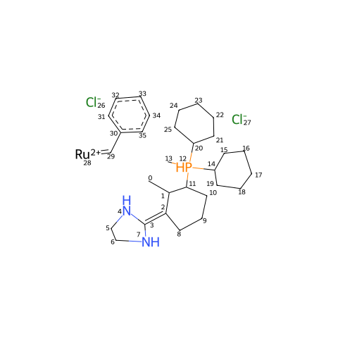 CC1C(=C2NCCN2)CCCC1[PH](C)(C1CCCCC1)C1CCCCC1.[Cl-].[Cl-].[Ru+2]=[CH]c1ccccc1